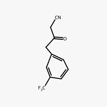 N#CCC(=O)Cc1cccc(C(F)(F)F)c1